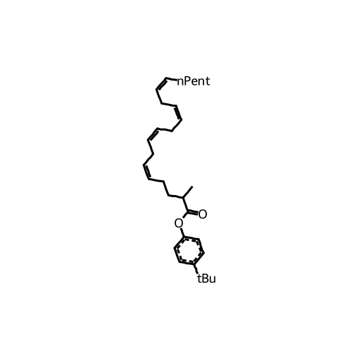 CCCCC/C=C\C/C=C\C/C=C\C/C=C\CCC(C)C(=O)Oc1ccc(C(C)(C)C)cc1